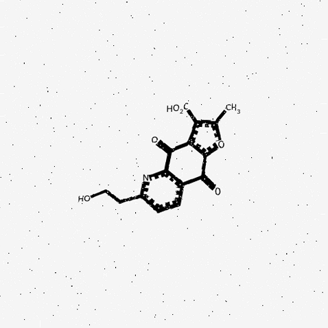 Cc1oc2c(c1C(=O)O)C(=O)c1nc(CCO)ccc1C2=O